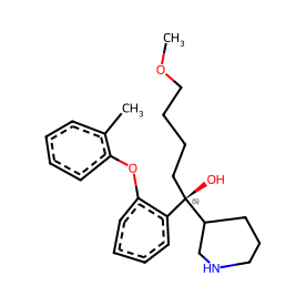 COCCCC[C@@](O)(c1ccccc1Oc1ccccc1C)C1CCCNC1